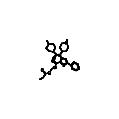 CCC(=O)OCOC(=O)c1sc(-c2ccccc2)cc1N(C(=O)C1CCC(C)CC1)C1CCN(C)CC1